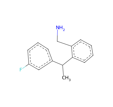 CC(c1cccc(F)c1)c1ccccc1CN